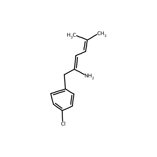 CC(C)=C/C=C(\N)Cc1ccc(Cl)cc1